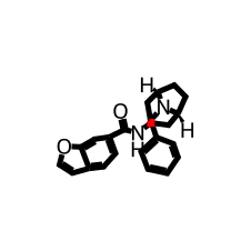 O=C(NC1C[C@H]2CC[C@@H](C1)N2Cc1ccccc1)c1ccc2ccoc2c1